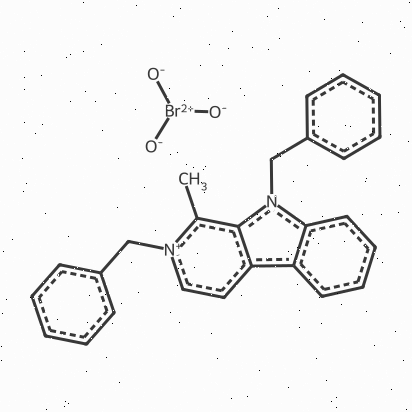 Cc1c2c(cc[n+]1Cc1ccccc1)c1ccccc1n2Cc1ccccc1.[O-][Br+2]([O-])[O-]